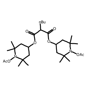 CCCCC(C(=O)OC1CC(C)(C)N(OC(C)=O)C(C)(C)C1)C(=O)OC1CC(C)(C)N(OC(C)=O)C(C)(C)C1